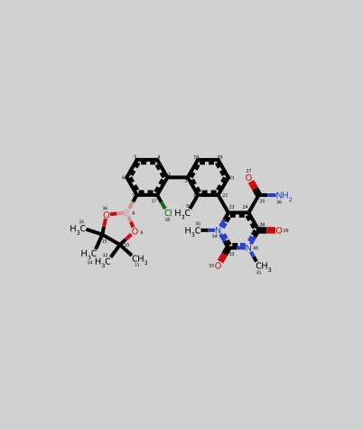 Cc1c(-c2cccc(B3OC(C)(C)C(C)(C)O3)c2Cl)cccc1-c1c(C(N)=O)c(=O)n(C)c(=O)n1C